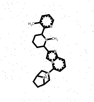 Cc1cccnc1C1CCCC(c2cn3c(N4CC5CCC(C4)N5C)cccc3n2)N1C